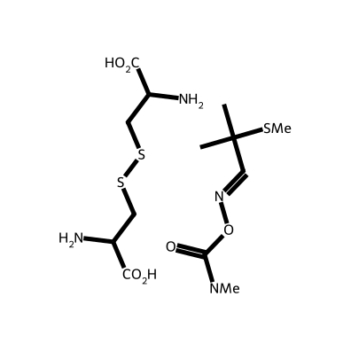 CNC(=O)O/N=C/C(C)(C)SC.NC(CSSCC(N)C(=O)O)C(=O)O